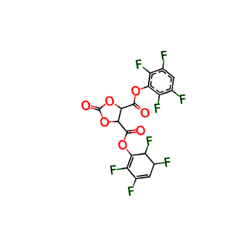 O=C1OC(C(=O)OC2=C(F)C(F)=CC(F)C2F)C(C(=O)Oc2c(F)c(F)cc(F)c2F)O1